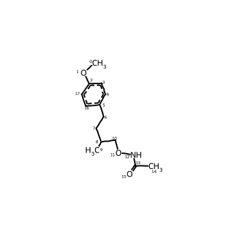 COc1ccc(CCC(C)CONC(C)=O)cc1